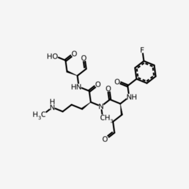 CNCCC[C@@H](C(=O)N[C@H](C=O)CC(=O)O)N(C)C(=O)[C@H](CCC=O)NC(=O)c1cccc(F)c1